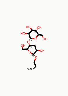 CCCCCCCCCCCCO[C@@H]1OC(CO)[C@@H](O[C@H]2OC(CO)[C@@H](O)C(O)C2O)CC1O